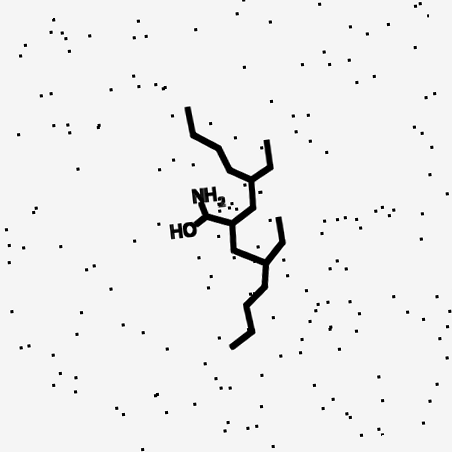 CCCCC(CC)CC(CC(CC)CCCC)C(N)O